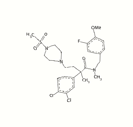 COc1ccc(CN(C)C(=O)C(C)(CCN2CCN(S(C)(=O)=O)CC2)c2ccc(Cl)c(Cl)c2)cc1F